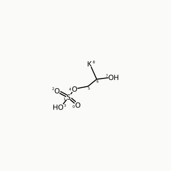 O=S(=O)(O)OC[CH](O)[K]